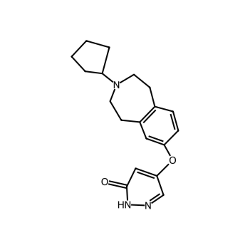 O=c1cc(Oc2ccc3c(c2)CCN(C2CCCC2)CC3)cn[nH]1